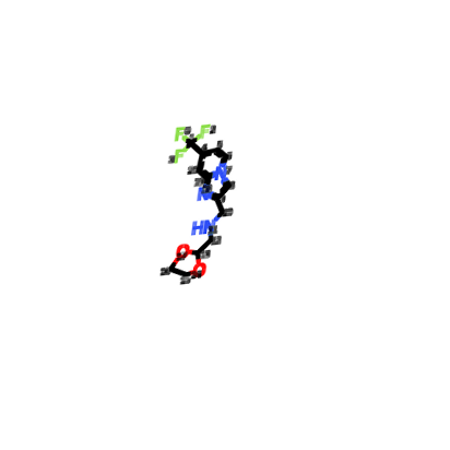 FC(F)(F)c1ccn2cc(CNCC3OCCO3)nc2c1